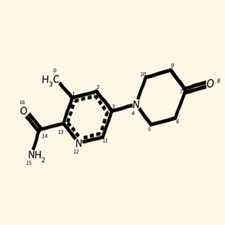 Cc1cc(N2CCC(=O)CC2)cnc1C(N)=O